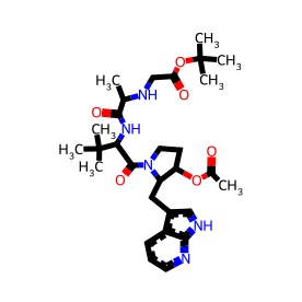 CC(=O)OC1CCN(C(=O)C(NC(=O)C(C)NCC(=O)OC(C)(C)C)C(C)(C)C)C1Cc1c[nH]c2ncccc12